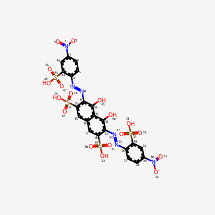 O=[N+]([O-])c1ccc(/N=N/c2c(S(=O)(=O)O)cc3cc(S(=O)(=O)O)c(/N=N/c4ccc([N+](=O)[O-])cc4S(=O)(=O)O)c(O)c3c2O)c(S(=O)(=O)O)c1